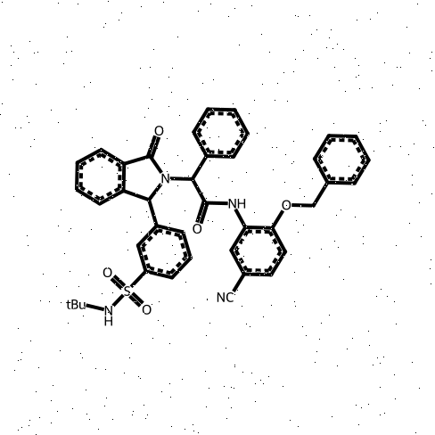 CC(C)(C)NS(=O)(=O)c1cccc(C2c3ccccc3C(=O)N2C(C(=O)Nc2cc(C#N)ccc2OCc2ccccc2)c2ccccc2)c1